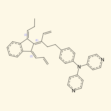 C=C\C=C1C(=C(/C=C)CCc2ccc(N(c3ccncc3)c3ccncc3)cc2)/C(=C\CC)c2ccccc2/1